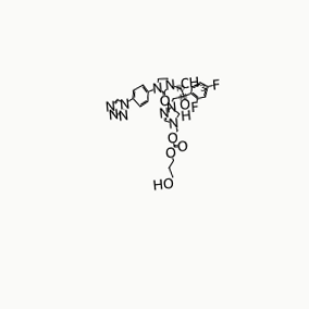 C[C@@H](N1CCN(c2ccc(-n3cnnn3)cc2)C1=O)[C@](O)(CN1CN(COC(=O)OCCCO)C=N1)c1ccc(F)cc1F